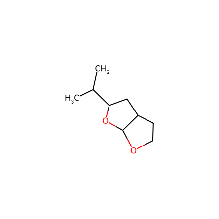 CC(C)C1CC2CCOC2O1